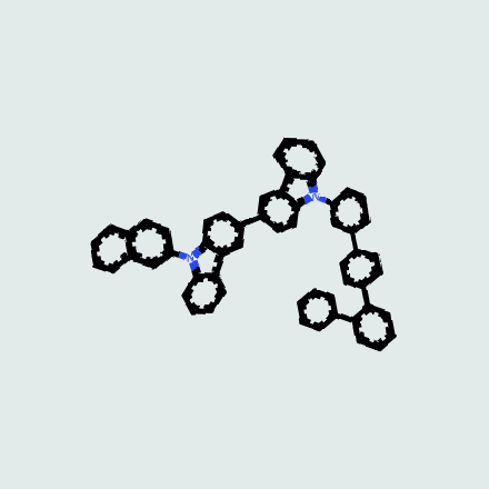 c1ccc(-c2ccccc2-c2ccc(-c3cccc(-n4c5ccccc5c5cc(-c6ccc7c(c6)c6ccccc6n7-c6ccc7ccccc7c6)ccc54)c3)cc2)cc1